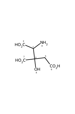 NC(C(=O)O)C(O)(CC(=O)O)C(=O)O